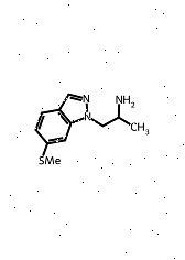 CSc1ccc2cnn(CC(C)N)c2c1